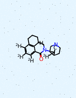 [2H]c1c([2H])c2c3c(c1[2H])C(=O)N([C@]1([2H])CN4CCC1CC4)C[C@H]3CCC2